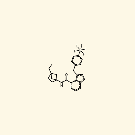 CCC12CCC(NC(=O)c3cccc4ccn(Cc5ccc(S(F)(F)(F)(F)F)cc5)c34)(C1)C2